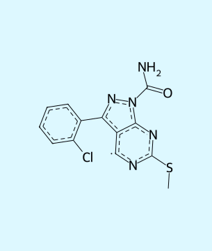 CSc1n[c]c2c(-c3ccccc3Cl)nn(C(N)=O)c2n1